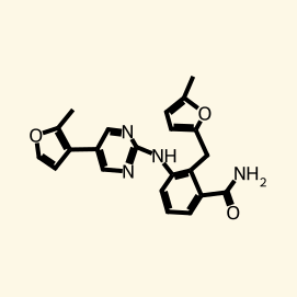 Cc1ccc(Cc2c(Nc3ncc(-c4ccoc4C)cn3)cccc2C(N)=O)o1